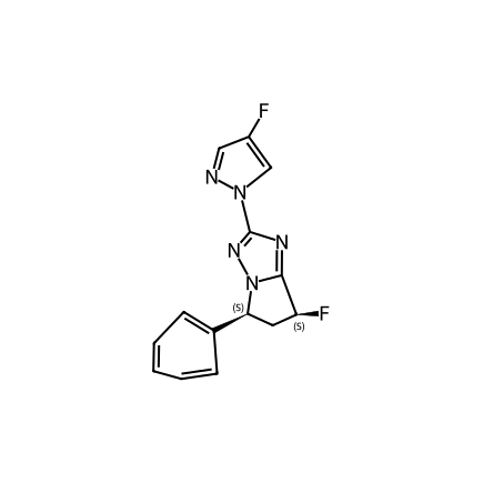 Fc1cnn(-c2nc3n(n2)[C@H](c2ccccc2)C[C@@H]3F)c1